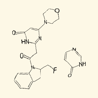 O=C(Cc1nc(N2CCOCC2)cc(=O)[nH]1)N1c2ccccc2CC1CF.O=c1ccnc[nH]1